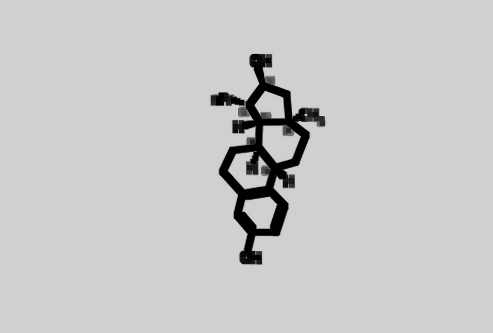 CCC[C@H]1[C@H]2[C@@H]3CCc4cc(O)ccc4[C@H]3CC[C@]2(C)C[C@@H]1O